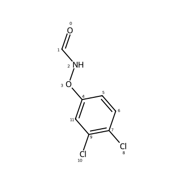 O=CNOc1ccc(Cl)c(Cl)c1